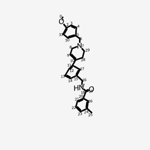 COc1ccc(CN2CC=C(c3cccc(CNC(=O)c4cccc(C)c4)c3)CC2)cc1